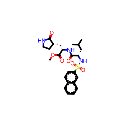 COC(=O)[C@H](C[C@@H]1CCNC1=O)NC(=O)[C@H](CC(C)C)NS(=O)(=O)c1ccc2ccccc2c1